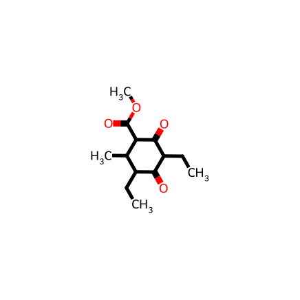 CCC1C(=O)C(CC)C(C)C(C(=O)OC)C1=O